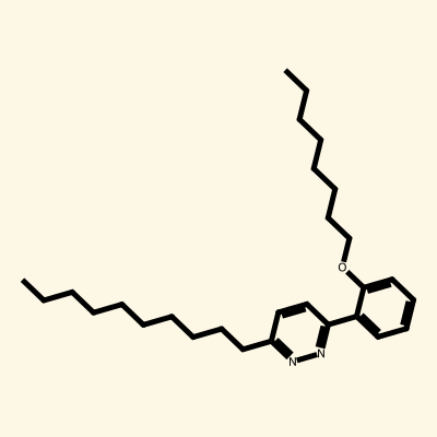 CCCCCCCCCCc1ccc(-c2ccccc2OCCCCCCCC)nn1